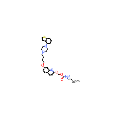 CCCCCCCCCCCCNC(=O)OCOc1ccc2ccc(OCCCCN3CCN(c4cccc5sccc45)CC3)cc2n1